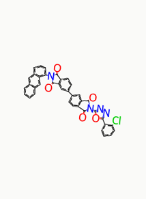 O=C1c2ccc(-c3ccc4c(c3)C(=O)N(c3cccc5cc6ccccc6cc35)C4=O)cc2C(=O)N1c1nnc(-c2ccccc2Cl)o1